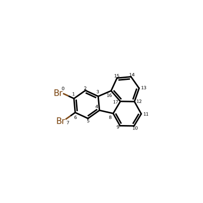 Brc1cc2c(cc1Br)-c1cccc3cccc-2c13